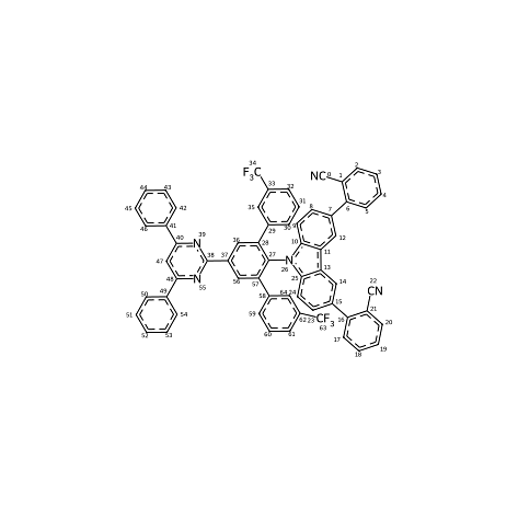 N#Cc1ccccc1-c1ccc2c(c1)c1cc(-c3ccccc3C#N)ccc1n2-c1c(-c2cccc(C(F)(F)F)c2)cc(-c2nc(-c3ccccc3)cc(-c3ccccc3)n2)cc1-c1cccc(C(F)(F)F)c1